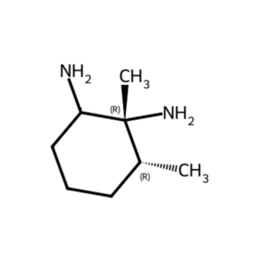 C[C@@H]1CCC[C](N)[C@]1(C)N